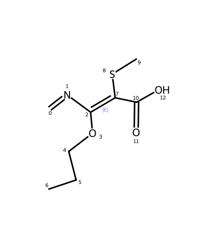 C=N/C(OCCC)=C(\SC)C(=O)O